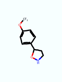 FC(F)(F)Oc1ccc(C2CCNO2)cc1